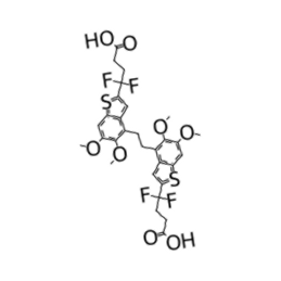 COc1cc2sc(C(F)(F)CCC(=O)O)cc2c(CCc2c(OC)c(OC)cc3sc(C(F)(F)CCC(=O)O)cc23)c1OC